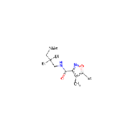 CCc1onc(C(=O)NCC(CC)(CC)CNC)c1C